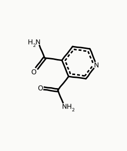 NC(=O)c1ccncc1C(N)=O